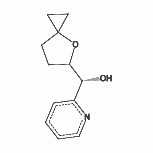 O[C@H](c1ccccn1)C1CCC2(CC2)O1